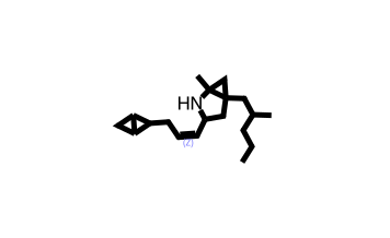 CCCC(C)CC12CC(/C=C\CC3C4CC34)NC1(C)C2